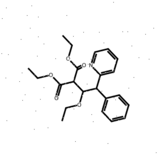 CCOC(=O)C(C(=O)OCC)C(OCC)C(c1ccccc1)c1ccccn1